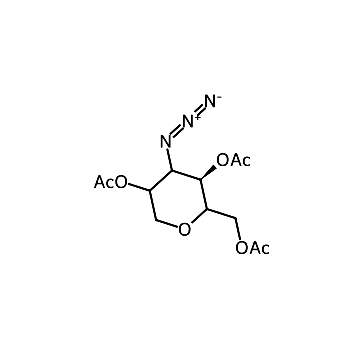 CC(=O)OCC1OCC(OC(C)=O)C(N=[N+]=[N-])[C@H]1OC(C)=O